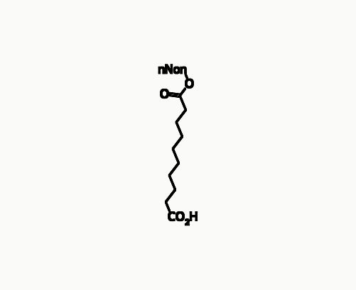 CCCCCCCCCOC(=O)CCCCCCCCC(=O)O